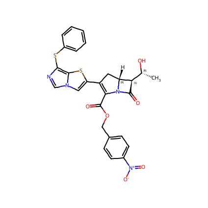 C[C@@H](O)[C@H]1C(=O)N2C(C(=O)OCc3ccc([N+](=O)[O-])cc3)=C(c3cn4cnc(Sc5ccccc5)c4s3)C[C@H]12